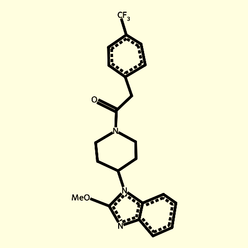 COc1nc2ccccc2n1C1CCN(C(=O)Cc2ccc(C(F)(F)F)cc2)CC1